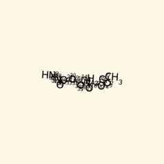 Cc1cccc(OCCCC(=O)N2CCCc3c(-c4cccc(COC(=O)N5CCNCC5)c4)cccc32)c1C